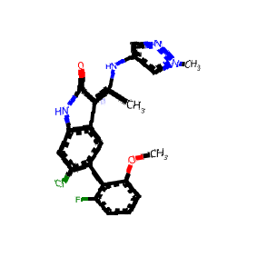 COc1cccc(F)c1-c1cc2c(cc1Cl)NC(=O)/C2=C(/C)Nc1cnn(C)c1